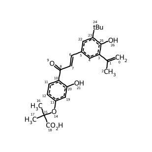 C=C(C)c1cc(/C=C/C(=O)c2ccc(OC(C)(C)C(=O)O)cc2O)cc(C(C)(C)C)c1O